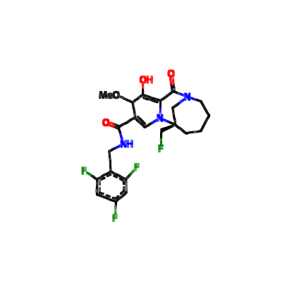 COC1C(C(=O)NCc2c(F)cc(F)cc2F)=CN2C(=C1O)C(=O)N1CCCC[C@@]2(CF)C1